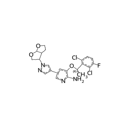 C[C@@H](Oc1cc(-c2cnn(C3COC4OCCC43)c2)cnc1N)c1c(Cl)ccc(F)c1Cl